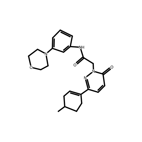 CC1CC=C(c2ccc(=O)n(CC(=O)Nc3cccc(N4CCOCC4)c3)n2)CC1